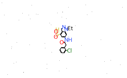 CCn1ncc2c([SH](=O)=O)cc(NC(=O)Cc3ccccc3Cl)cc21